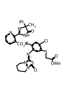 CC(C)C1(C)N=C(c2ncccc2C(=O)O)NC1=O.COC(=O)CSc1cc(/N=c2\sc(=O)n3n2CCCC3)c(F)cc1Cl